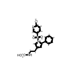 O=C(O)NCCc1cc(-c2ccccc2)n(S(=O)(=O)c2ccc(Cl)nc2)c1